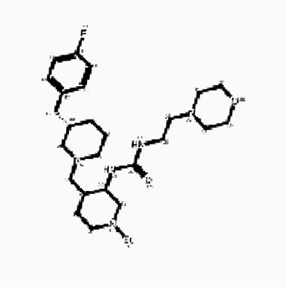 CCN1CCC(CN2CCC[C@@H](Cc3ccc(F)cc3)C2)C(NC(=O)NCCN2CCOCC2)C1